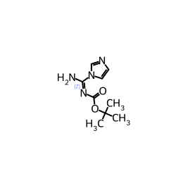 CC(C)(C)OC(=O)/N=C(/N)n1ccnc1